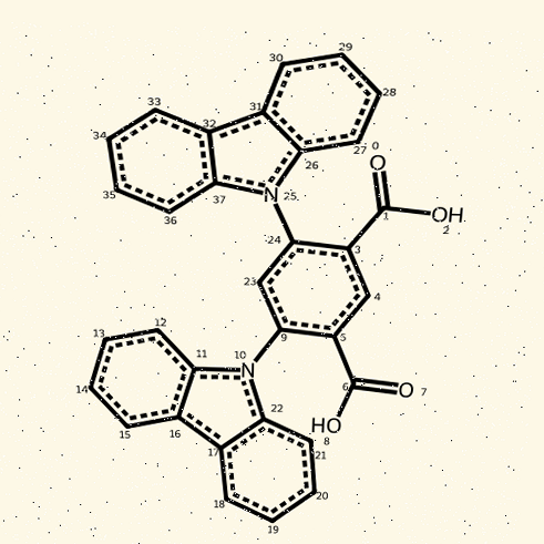 O=C(O)c1cc(C(=O)O)c(-n2c3ccccc3c3ccccc32)cc1-n1c2ccccc2c2ccccc21